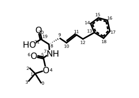 CC(C)(C)OC(=O)N[C@@H](CC=CCc1ccccc1)C(=O)O